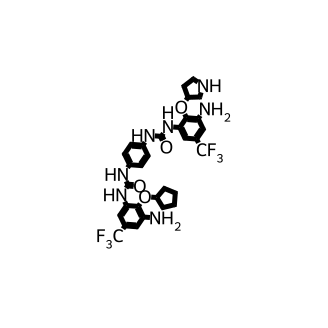 Nc1cc(C(F)(F)F)cc(NC(=O)Nc2ccc(NC(=O)Nc3cc(C(F)(F)F)cc(N)c3OC3CCNC3)cc2)c1OC1CCCC1